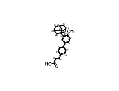 COc1ccc(-c2ccc(C=CC(=O)O)cc2)cc1C12CC3CC(CC(C3)C1)C2